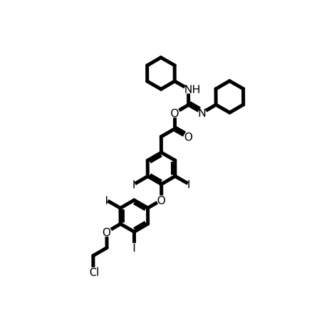 O=C(Cc1cc(I)c(Oc2cc(I)c(OCCCl)c(I)c2)c(I)c1)O/C(=N/C1CCCCC1)NC1CCCCC1